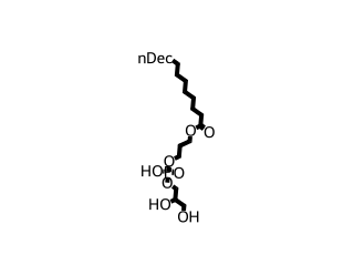 CCCCCCCCCCCCCCCCCC(=O)OCCCOP(=O)(O)OCC(O)CO